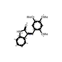 COc1cc(OC)c(OC)cc1/C=C1\C(=O)Nc2ccccc21